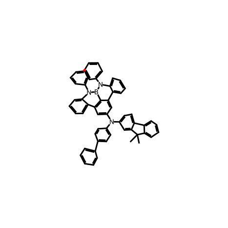 CC1(C)c2ccccc2-c2ccc(N(c3ccc(-c4ccccc4)cc3)c3cc4c5c(c3)-c3ccccc3N(c3ccccc3)B5N(c3ccccc3)c3ccccc3-4)cc21